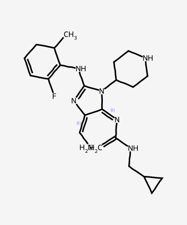 C=C(/N=C1\C(=C/N)N=C(NC2=C(F)C=CCC2C)N1C1CCNCC1)NCC1CC1